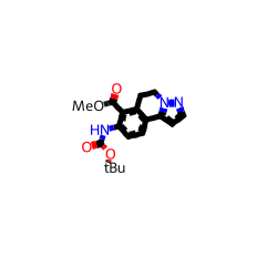 COC(=O)c1c(NC(=O)OC(C)(C)C)ccc2c1CCn1nccc1-2